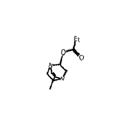 CCC(=O)OC1CN2CCN1C=C2C